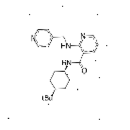 CC(C)(C)[C@H]1CC[C@@H](NC(=O)c2cccnc2NCc2ccncc2)CC1